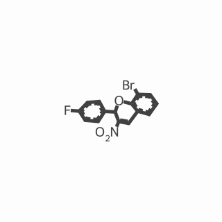 O=[N+]([O-])C1=Cc2cccc(Br)c2OC1c1ccc(F)cc1